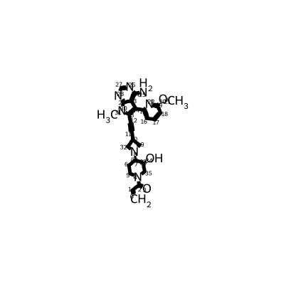 C=CC(=O)N1CC[C@@H](N2CC(C#Cc3c(-c4cccc(OC)n4)c4c(N)ncnc4n3C)C2)[C@@H](O)C1